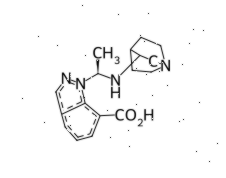 C[C@@H](NC1CN2CCC1CC2)n1ncc2cccc(C(=O)O)c21